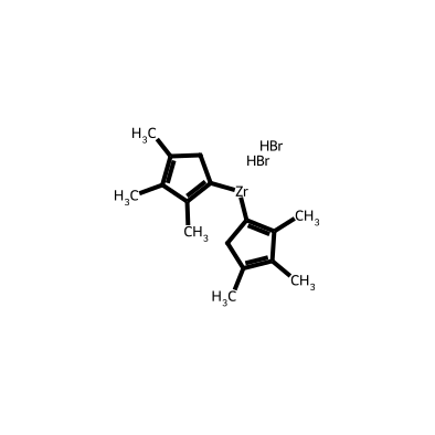 Br.Br.CC1=C(C)C(C)=[C]([Zr][C]2=C(C)C(C)=C(C)C2)C1